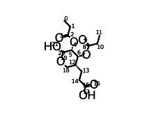 CCC(=O)O[C@@H]1[C@@H](OC(=O)CC)[C@@H](CCC(=O)O)CO[C@H]1O